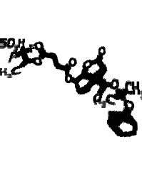 CC(OC(=O)CCC(=O)OC1C2CC3C1OC(=O)C3C2C(=O)OC(C)(C)OC1CC2CCC1C2)C(F)(F)S(=O)(=O)O